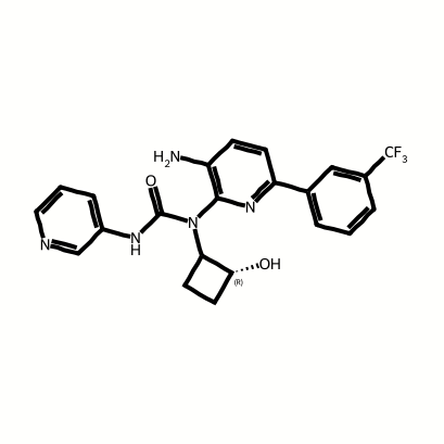 Nc1ccc(-c2cccc(C(F)(F)F)c2)nc1N(C(=O)Nc1cccnc1)C1CC[C@H]1O